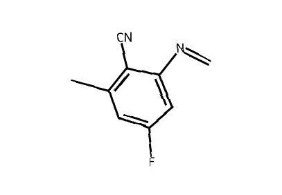 C=Nc1cc(F)cc(C)c1C#N